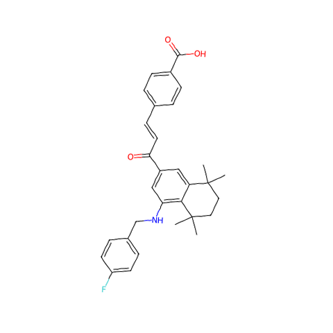 CC1(C)CCC(C)(C)c2c(NCc3ccc(F)cc3)cc(C(=O)C=Cc3ccc(C(=O)O)cc3)cc21